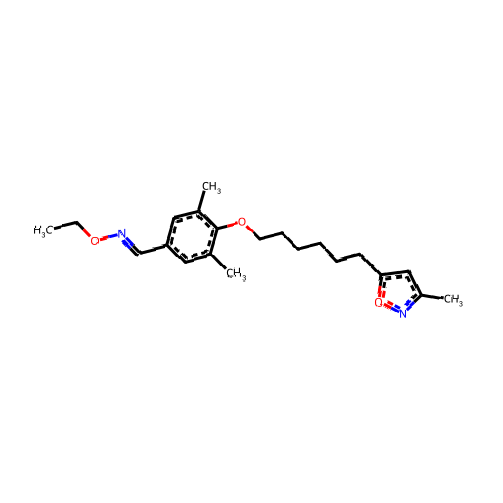 CCON=Cc1cc(C)c(OCCCCCCc2cc(C)no2)c(C)c1